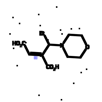 CCC(/C(=C\C(=O)O)C(=O)O)N1CCOCC1